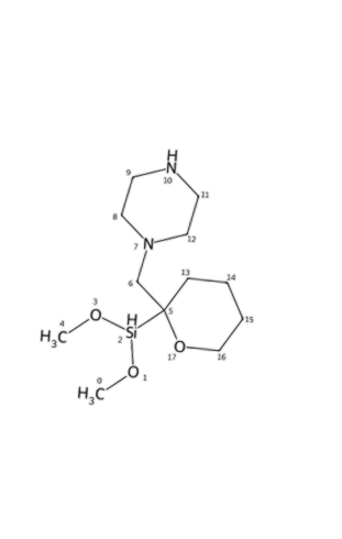 CO[SiH](OC)C1(CN2CCNCC2)CCCCO1